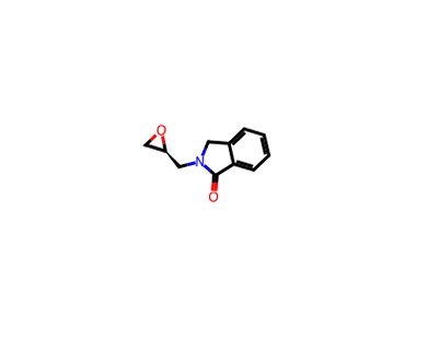 O=C1c2ccccc2CN1C[C@H]1CO1